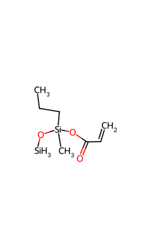 C=CC(=O)O[Si](C)(CCC)O[SiH3]